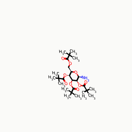 CC(C)(C)C(=O)OC[C@H]1O[C@@H](N)[C@@H](OC(=O)C(C)(C)C)[C@@H](OC(=O)C(C)(C)C)[C@@H]1OC(=O)C(C)(C)C